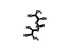 C[C@H](O)[C@@H](O)O[PH](=O)O[C@H](O)[C@H](C)O